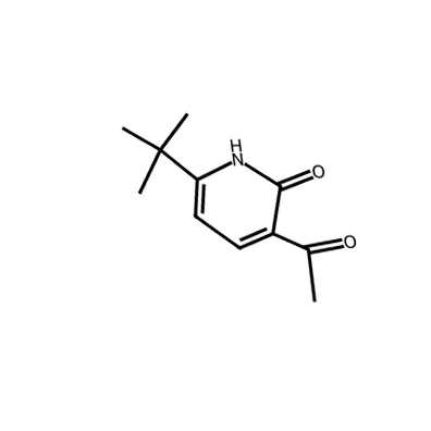 CC(=O)c1ccc(C(C)(C)C)[nH]c1=O